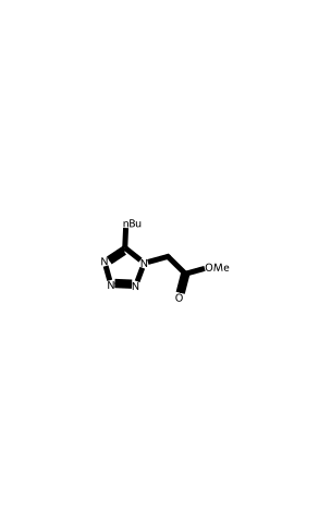 [CH2]CCCc1nnnn1CC(=O)OC